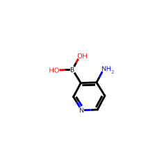 Nc1ccncc1B(O)O